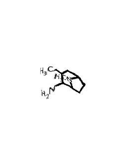 CC1CC2CCC(C1N)N2C